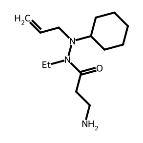 C=CCN(C1CCCCC1)N(CC)C(=O)CCN